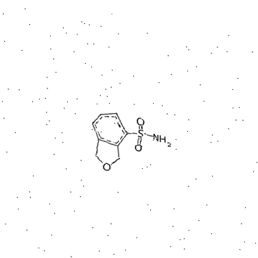 NS(=O)(=O)c1cccc2c1COC2